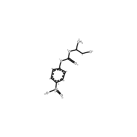 CC(CCl)OC(=O)Oc1ccc([N+](=O)[O-])cc1